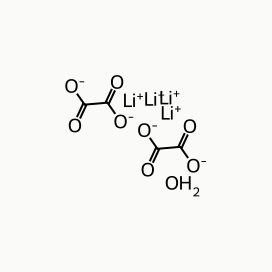 O.O=C([O-])C(=O)[O-].O=C([O-])C(=O)[O-].[Li+].[Li+].[Li+].[Li+]